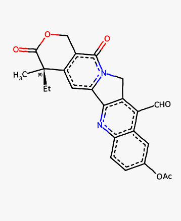 CC[C@@]1(C)C(=O)OCc2c1cc1n(c2=O)Cc2c-1nc1ccc(OC(C)=O)cc1c2C=O